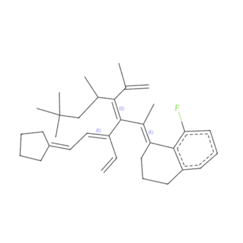 C=CC(=C\C=C1CCCC1)/C(=C(/C(=C)C)C(C)CC(C)(C)C)C(/C)=C1\CCCc2cccc(F)c21